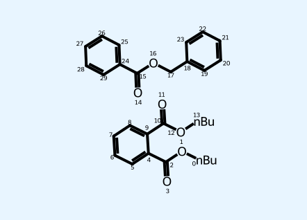 CCCCOC(=O)c1ccccc1C(=O)OCCCC.O=C(OCc1ccccc1)c1ccccc1